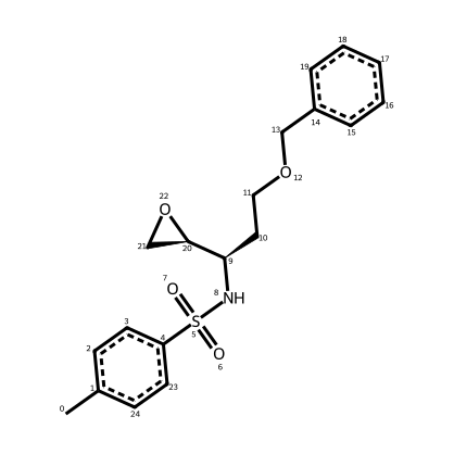 Cc1ccc(S(=O)(=O)N[C@H](CCOCc2ccccc2)[C@H]2CO2)cc1